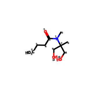 CN(C(=O)CCC(=O)O)C(C)(CO)CO